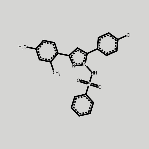 Cc1ccc(-c2cc(-c3ccc(Cl)cc3)n(NS(=O)(=O)c3ccccc3)n2)c(C)c1